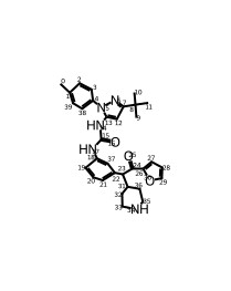 Cc1ccc(-n2nc(C(C)(C)C)cc2NC(=O)Nc2cccc(C(C(=O)c3ccco3)C3CCNCC3)c2)cc1